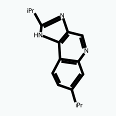 CC(C)c1ccc2c(c1)ncc1nc(C(C)C)[nH]c12